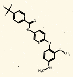 CNc1ccc(Oc2ccc(NC(=O)c3ccc(C(F)(F)F)cc3)cn2)c(OC)c1